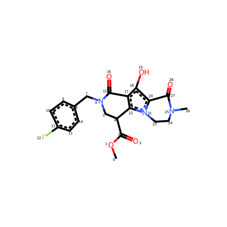 COC(=O)C1CN(Cc2ccc(F)cc2)C(=O)c2c(O)c3n(c21)CCN(C)C3=O